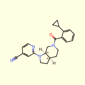 N#Cc1ccnc(N2CC[C@@H]3CCN(C(=O)c4ccccc4C4CC4)C[C@@H]32)c1